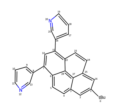 CC(C)(C)c1cc2ccc3c(-c4cccnc4)cc(-c4cccnc4)c4ccc(c1)c2c34